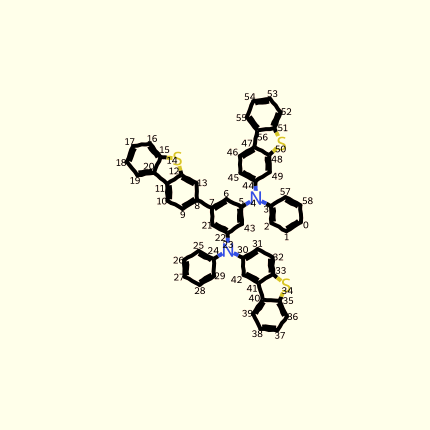 c1ccc(N(c2cc(-c3ccc4c(c3)sc3ccccc34)cc(N(c3ccccc3)c3ccc4sc5ccccc5c4c3)c2)c2ccc3c(c2)sc2ccccc23)cc1